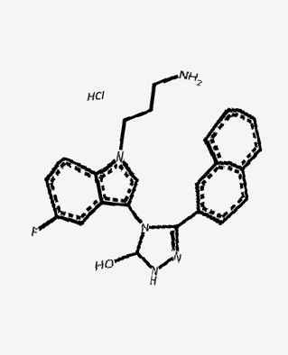 Cl.NCCCn1cc(N2C(c3ccc4ccccc4c3)=NNC2O)c2cc(F)ccc21